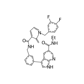 C=C1C(C(=O)NCc2cccc(-c3c[nH]c4ncc(C(=O)NCC)cc34)c2)=CC=CN1Cc1ccc(F)c(F)c1